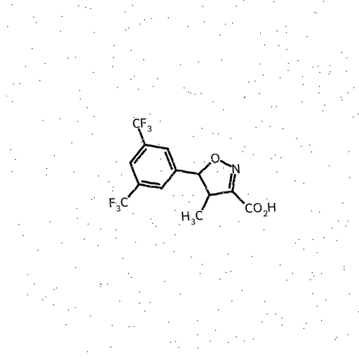 CC1C(C(=O)O)=NOC1c1cc(C(F)(F)F)cc(C(F)(F)F)c1